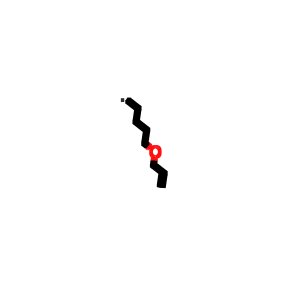 [CH2]CCCCOCC=C